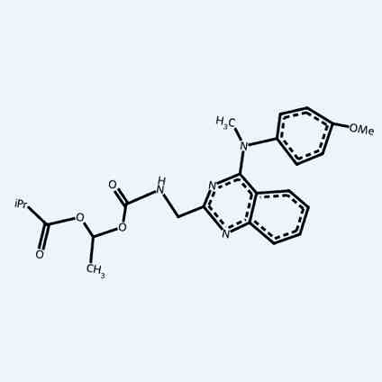 COc1ccc(N(C)c2nc(CNC(=O)OC(C)OC(=O)C(C)C)nc3ccccc23)cc1